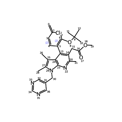 C=C(Cl)/C=C\C(=C(/C)OC(C)(C)C)c1c(CC(=O)OC)c(C)nc2c1c(C)c(C)n2Cc1cncnc1